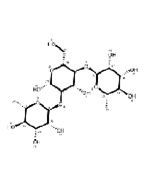 C[C@@H]1O[C@@H](O[C@@H]2[C@@H](O)[C@H](O[C@@H]3O[C@@H](C)[C@H](O)[C@@H](O)[C@H]3O)[C@@H](CO)O[C@H]2O)[C@H](O)[C@H](O)[C@H]1O